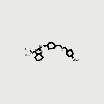 COc1ccc(CNCC2CCC(Nc3nc4c(c(N(C)C)n3)CCCC4)CC2)cc1